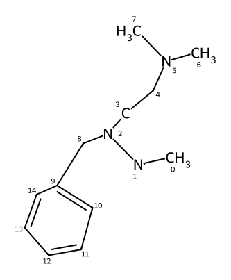 C[N]N(CCN(C)C)Cc1ccccc1